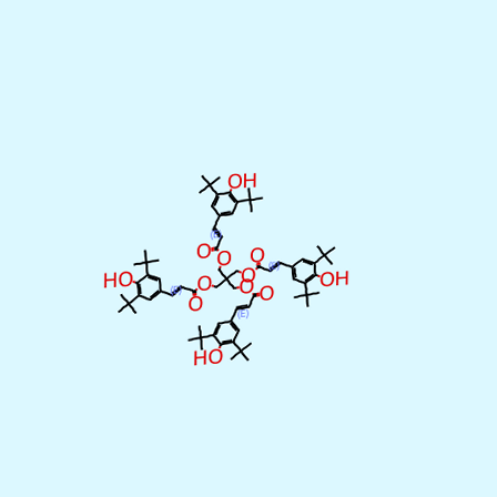 CC(C)(C)c1cc(/C=C/C(=O)OCC(COC(=O)/C=C/c2cc(C(C)(C)C)c(O)c(C(C)(C)C)c2)(COC(=O)/C=C/c2cc(C(C)(C)C)c(O)c(C(C)(C)C)c2)COC(=O)/C=C/c2cc(C(C)(C)C)c(O)c(C(C)(C)C)c2)cc(C(C)(C)C)c1O